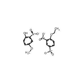 CCOc1ccc([N+](=O)[O-])cc1[N+](=O)[O-].COc1ccc(O)c([N+](=O)[O-])c1